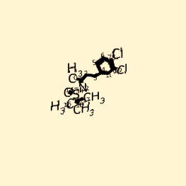 CC(CCc1ccc(Cl)c(Cl)c1)=N[S+]([O-])C(C)(C)C